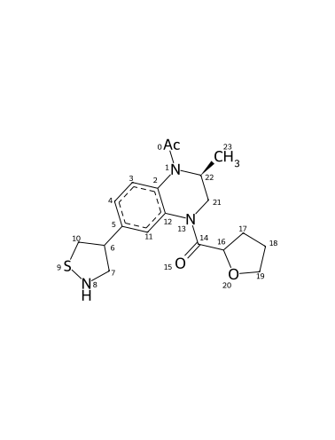 CC(=O)N1c2ccc(C3CNSC3)cc2N(C(=O)C2CCCO2)C[C@@H]1C